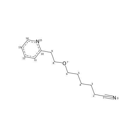 N#CCCCCCOCCc1ccccn1